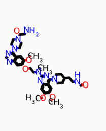 COc1cc2nc(N(C)CCOc3cc4ncnc(N5CCN(C(=O)CN)CC5)c4cc3OC)nc(N3CCC(CCNC=O)CC3)c2cc1OC